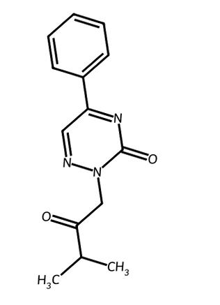 CC(C)C(=O)Cn1ncc(-c2ccccc2)nc1=O